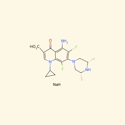 C[C@@H]1CN(c2c(F)c(N)c3c(=O)c(C(=O)O)cn(C4CC4)c3c2F)C[C@H](C)N1.[NaH]